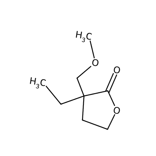 CCC1(COC)CCOC1=O